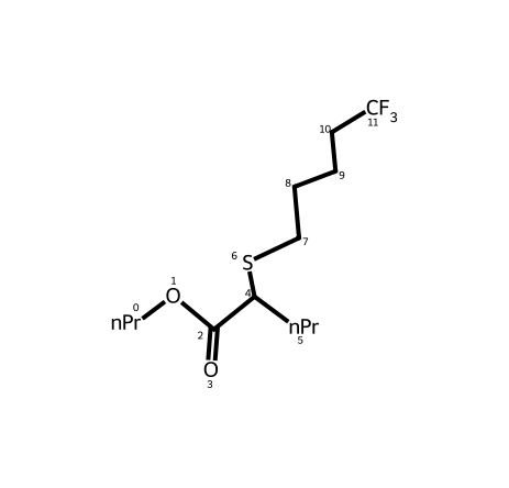 CCCOC(=O)C(CCC)SCCCCC(F)(F)F